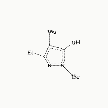 CCc1nn(C(C)(C)C)c(O)c1C(C)(C)C